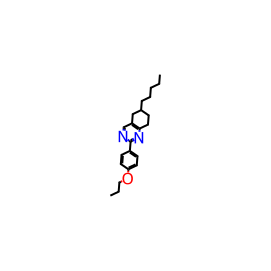 CCCCCC1CCc2nc(-c3ccc(OCCC)cc3)ncc2C1